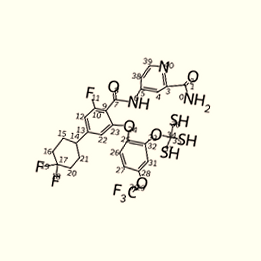 NC(=O)c1cc(NC(=O)c2c(F)cc(C3CCC(F)(F)CC3)cc2Oc2ccc(OC(F)(F)F)cc2OC(S)(S)S)ccn1